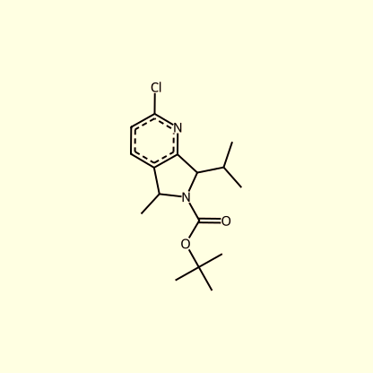 CC(C)C1c2nc(Cl)ccc2C(C)N1C(=O)OC(C)(C)C